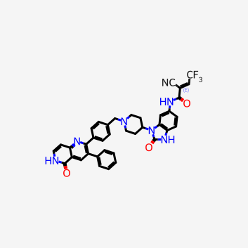 N#C/C(=C\C(F)(F)F)C(=O)Nc1ccc2[nH]c(=O)n(C3CCN(Cc4ccc(-c5nc6cc[nH]c(=O)c6cc5-c5ccccc5)cc4)CC3)c2c1